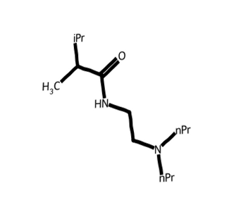 CCCN(CCC)CCNC(=O)C(C)C(C)C